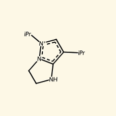 CC(C)c1c[n+](C(C)C)n2c1NCC2